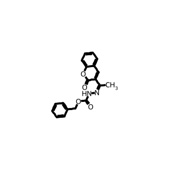 C/C(=N/NC(=O)OCc1ccccc1)c1cc2ccccc2oc1=O